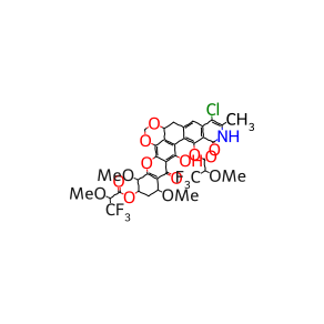 COC1CC(OC(=O)C(OC)C(F)(F)F)C(OC)c2oc3c4c5c(c(O)c3c(=O)c21)-c1c(cc2c(Cl)c(C)[nH]c(=O)c2c1OC(=O)C(OC)C(F)(F)F)CC5OCO4